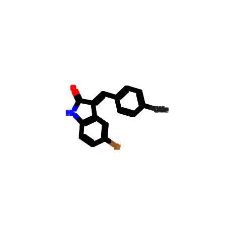 COc1ccc(/C=C2/C(=O)Nc3ccc(Br)cc32)cc1